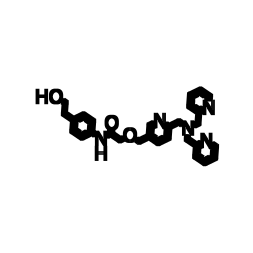 O=C(COCc1ccc(CN(Cc2ccccn2)Cc2ccccn2)nc1)Nc1ccc(CCO)cc1